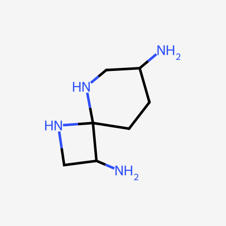 NC1CCC2(NC1)NCC2N